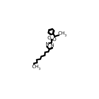 CCCCCCCCCc1cnc(C(=O)OC(CC)c2ccccc2)nc1